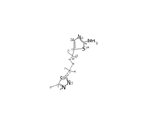 Cc1nnc(C(C)(C)CCC(C)(C)c2cnc(N)s2)s1